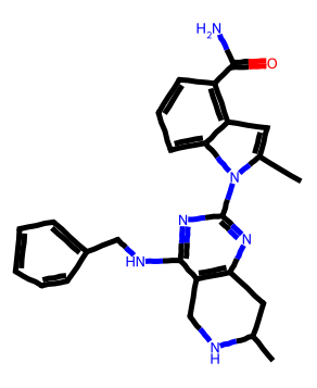 Cc1cc2c(C(N)=O)cccc2n1-c1nc2c(c(NCc3ccccc3)n1)CNC(C)C2